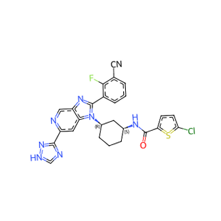 N#Cc1cccc(-c2nc3cnc(-c4nc[nH]n4)cc3n2[C@@H]2CCC[C@H](NC(=O)c3ccc(Cl)s3)C2)c1F